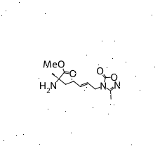 COC(=O)[C@@](C)(N)CCC=CCn1c(C)noc1=O